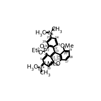 CCOP1(=O)C2=CC(=[N+](C)C)C=CC2=C(c2c(OC)cccc2OC)c2ccc(N(C)C)cc21